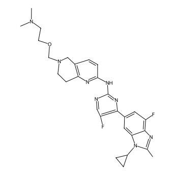 Cc1nc2c(F)cc(-c3nc(Nc4ccc5c(n4)CCN(COCCN(C)C)C5)ncc3F)cc2n1C1CC1